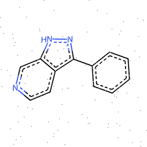 c1ccc(-c2n[nH]c3cnccc23)cc1